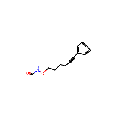 O=CNOCCCCC#Cc1ccccc1